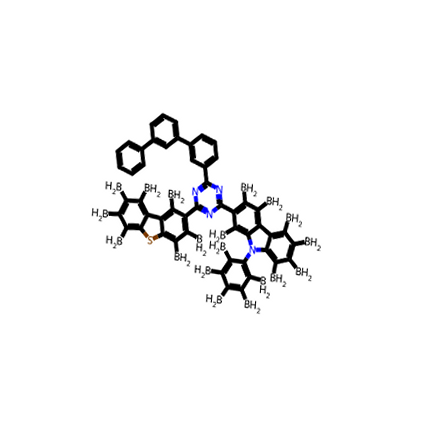 Bc1c(B)c(B)c(-n2c3c(B)c(B)c(B)c(B)c3c3c(B)c(B)c(-c4nc(-c5cccc(-c6cccc(-c7ccccc7)c6)c5)nc(-c5c(B)c(B)c6sc7c(B)c(B)c(B)c(B)c7c6c5B)n4)c(B)c32)c(B)c1B